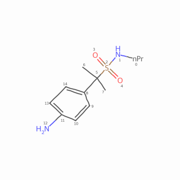 CCCNS(=O)(=O)C(C)(C)c1ccc(N)cc1